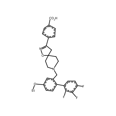 CCOc1ccc(-c2ccc(F)c(F)c2F)c(CN2CCC3(CC2)CC(c2ccc(C(=O)O)cc2)=NO3)c1